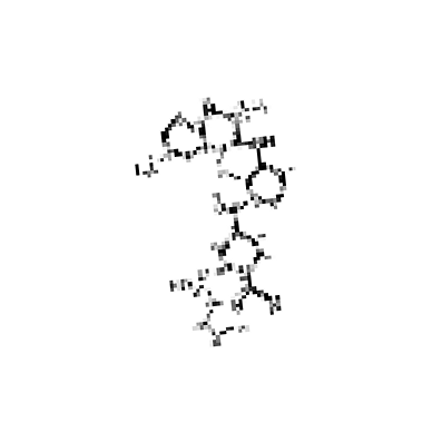 Cc1c(Nc2nc3cc(C(F)(F)F)ccc3nc2C(=O)O)cccc1C(=O)c1ccc(C(=O)N2CCCC2C(=O)O)cc1